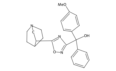 COc1ccc(C(O)(c2ccccc2)c2noc(C3CN4CCC3CC4)n2)cc1